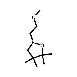 COCCB1CC(C)(C)C(C)(C)O1